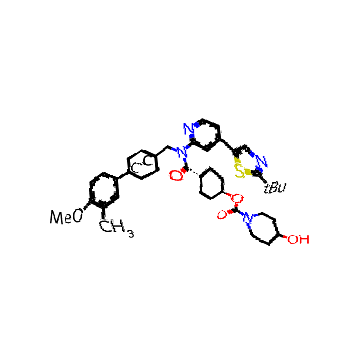 COc1ccc(C23CCC(CN(c4cc(-c5cnc(C(C)(C)C)s5)ccn4)C(=O)[C@H]4CC[C@H](OC(=O)N5CCC(O)CC5)CC4)(CC2)CC3)cc1C